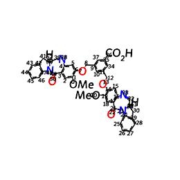 COc1cc2c(cc1OCc1cc(COc3cc4c(cc3OC)C(=O)N3c5ccccc5C[C@H]3C=N4)cc(C(=O)O)c1)N=C[C@@H]1Cc3ccccc3N1C2=O